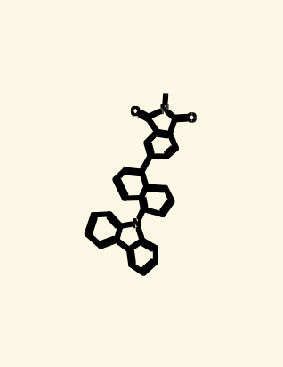 CN1C(=O)c2ccc(-c3cccc4c(-n5c6ccccc6c6ccccc65)cccc34)cc2C1=O